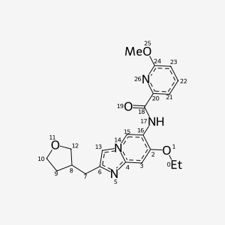 CCOc1cc2nc(CC3CCOC3)cn2cc1NC(=O)c1cccc(OC)n1